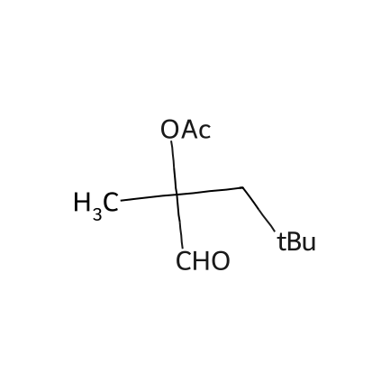 CC(=O)OC(C)(C=O)CC(C)(C)C